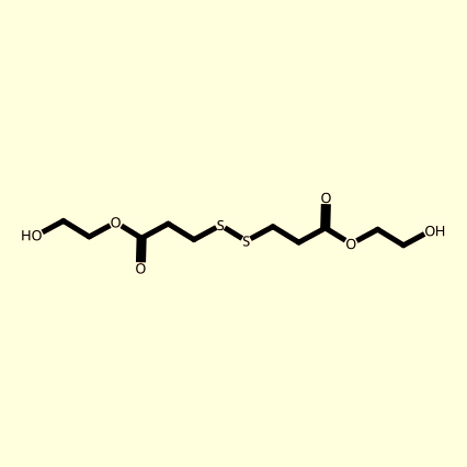 O=C(CCSSCCC(=O)OCCO)OCCO